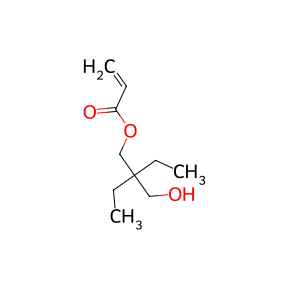 C=CC(=O)OCC(CC)(CC)CO